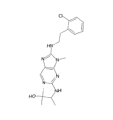 CC(Nc1ncc2nc(NCCc3ccccc3Cl)n(C)c2n1)C(C)(C)O